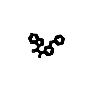 CC(C(=O)n1ccc2cncnc21)c1cccc(Oc2ccccc2)c1